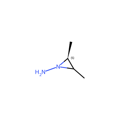 CC1[C@H](C)N1N